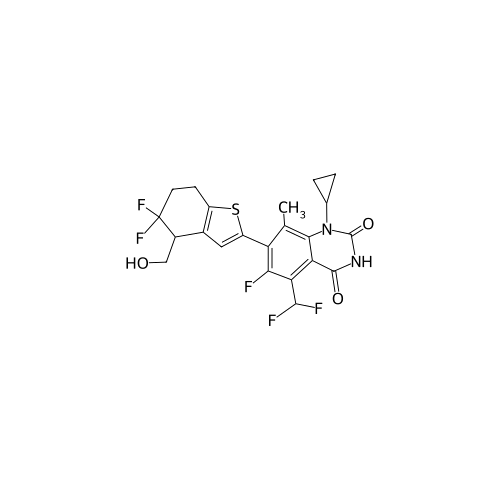 Cc1c(-c2cc3c(s2)CCC(F)(F)C3CO)c(F)c(C(F)F)c2c(=O)[nH]c(=O)n(C3CC3)c12